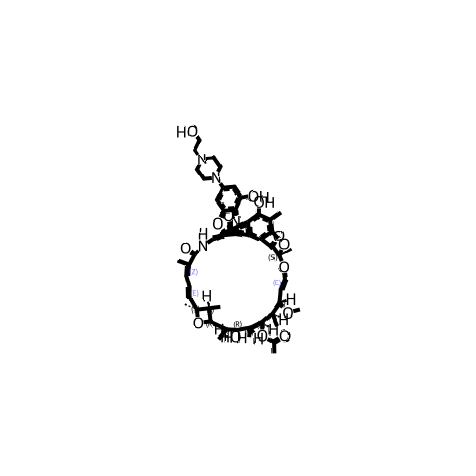 CO[C@H]1/C=C/O[C@@]2(C)Oc3c(C)c(O)c4c(=O)c(c5oc6cc(N7CCN(CCO)CC7)cc(O)c6nc-5c4c3C2=O)NC(=O)/C(C)=C\C=C\[C@]2(C)O[C@H]([C@@H](C)[C@@H](O)[C@@H](C)[C@H](OC(C)=O)[C@@H]1C)[C@H]2C